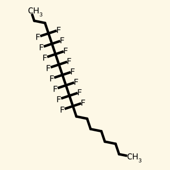 CCCCCCCCC(F)(F)C(F)(F)C(F)(F)C(F)(F)C(F)(F)C(F)(F)C(F)(F)C(F)(F)CCC